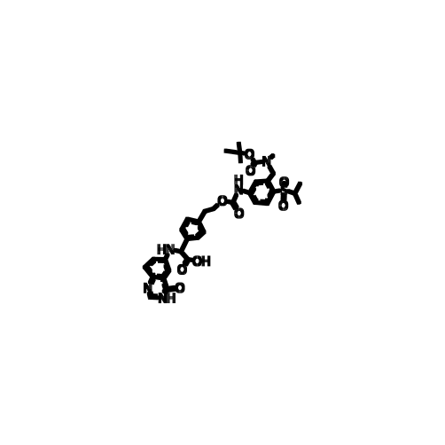 CC(C)S(=O)(=O)c1ccc(NC(=O)OCCc2ccc(C(Nc3ccc4nc[nH]c(=O)c4c3)C(=O)O)cc2)cc1CN(C)C(=O)OC(C)(C)C